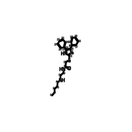 CCCCCNCCNC(=O)CSc1nc(-c2ccccc2)c(-c2ccccc2)[nH]1